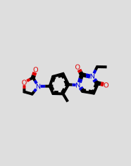 CCn1c(=O)ccn(-c2ccc(N3CCOC3=O)cc2C)c1=O